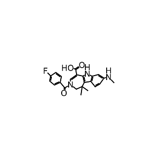 CNc1ccc2c3c([nH]c2c1)C(C(=O)O)=CN(C(=O)c1ccc(F)cc1)CC3(C)C